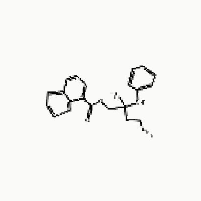 CCCC(C)(COC(=O)c1cccc2ccccc12)Nc1ccccc1